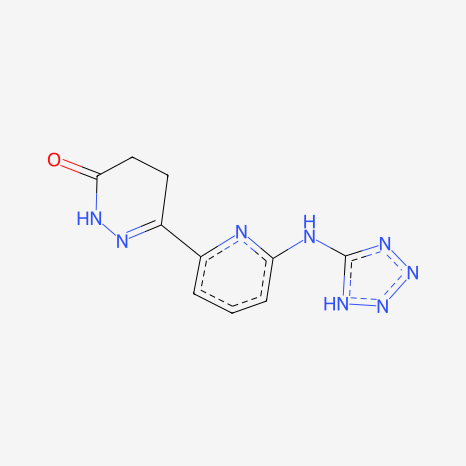 O=C1CCC(c2cccc(Nc3nnn[nH]3)n2)=NN1